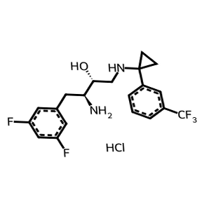 Cl.N[C@@H](Cc1cc(F)cc(F)c1)[C@H](O)CNC1(c2cccc(C(F)(F)F)c2)CC1